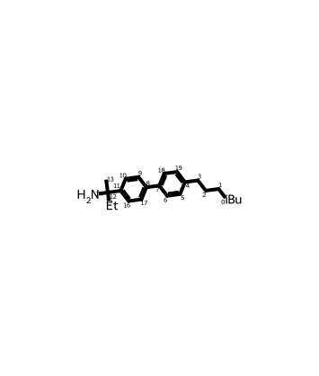 CCC(C)CCCc1ccc(-c2ccc(C(C)(N)CC)cc2)cc1